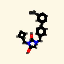 O=Cc1cccc(-c2ccc(CN3CC(=O)N(CC4CCC4)C3=O)cc2)c1